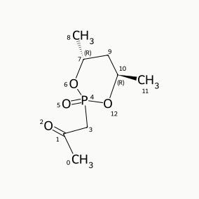 CC(=O)CP1(=O)O[C@H](C)C[C@@H](C)O1